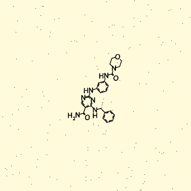 C[C@@H](Nc1nc(Nc2cccc(NC(=O)N3CCOCC3)c2)ncc1C(N)=O)c1ccccc1